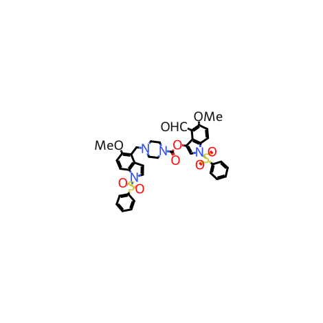 COc1ccc2c(ccn2S(=O)(=O)c2ccccc2)c1CN1CCN(C(=O)Oc2cn(S(=O)(=O)c3ccccc3)c3ccc(OC)c(C=O)c23)CC1